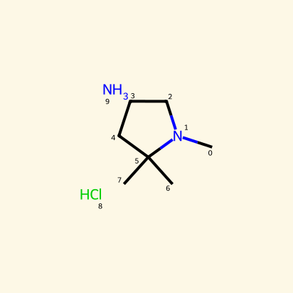 CN1CCCC1(C)C.Cl.N